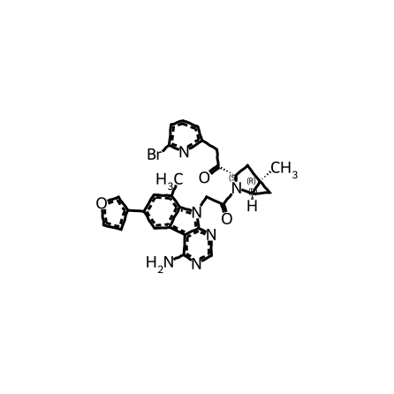 Cc1cc(-c2ccoc2)cc2c3c(N)ncnc3n(CC(=O)N3[C@H](C(=O)Cc4cccc(Br)n4)C[C@@]4(C)C[C@@H]34)c12